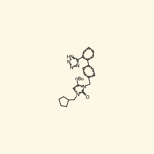 CCCCc1cn(CC2CCCC2)c(=O)n1Cc1ccc(-c2ccccc2-c2nnn[nH]2)cc1